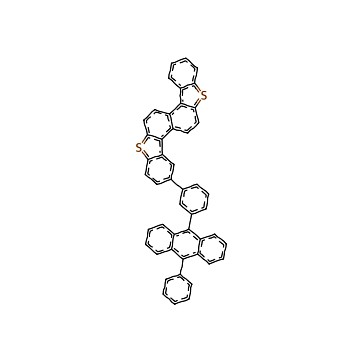 c1ccc(-c2c3ccccc3c(-c3cccc(-c4ccc5sc6ccc7c(ccc8sc9ccccc9c87)c6c5c4)c3)c3ccccc23)cc1